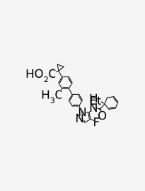 CC[C@]1(C(=O)Nc2c(F)cnn2-c2ccc(-c3ccc(C4(C(=O)O)CC4)cc3C)cc2)C=CC=CC1